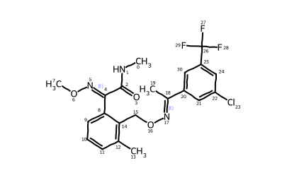 CNC(=O)/C(=N/OC)c1cccc(C)c1CO/N=C(\C)c1cc(Cl)cc(C(F)(F)F)c1